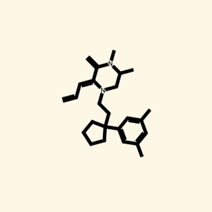 C=C/C=C1/C(=C)N(C)C(C)CN1CCC1(c2cc(C)cc(C)c2)CCCC1